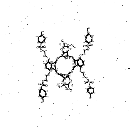 CO[C@]1(C)Oc2c(c3nc4nc(nc5[nH]c(nc6nc(nc2[nH]3)-c2c(OCCOS(=O)(=O)c3ccc(C)cc3)ccc(OCCOS(=O)(=O)c3ccc(C)cc3)c2-6)c2c5O[C@@](C)(OC)[C@](C)(OC)O2)-c2c(OCCOS(=O)(=O)c3ccc(C)cc3)ccc(OCCOS(=O)(=O)c3ccc(C)cc3)c2-4)O[C@@]1(C)OC